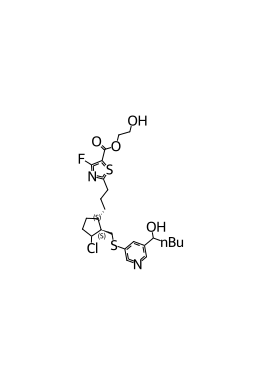 CCCCC(O)c1cncc(SC[C@H]2C(Cl)CC[C@@H]2CCCc2nc(F)c(C(=O)OCCO)s2)c1